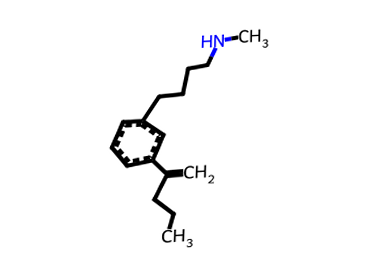 C=C(CCC)c1cccc(CCCCNC)c1